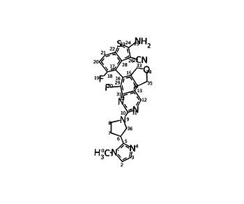 Cn1ccnc1C1CCN(c2ncc3c4c(c(-c5c(F)ccc6sc(N)c(C#N)c56)c(F)c3n2)COC4)C1